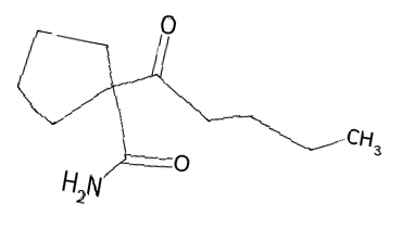 CCCCC(=O)C1(C(N)=O)CCCC1